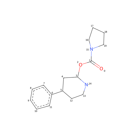 O=C(OC1CC(c2ccccc2)CC[N]1)N1CCCC1